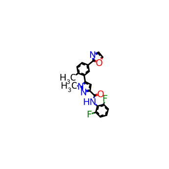 Cc1ccc(-c2ncco2)cc1-c1cc(C(=O)Nc2c(F)cccc2F)nn1C